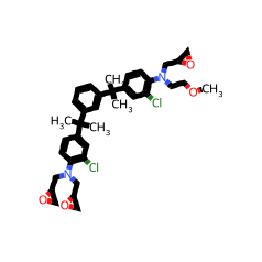 COCCN(CC1CO1)c1ccc(C(C)(C)c2cccc(C(C)(C)c3ccc(N(CC4CO4)CC4CO4)c(Cl)c3)c2)cc1Cl